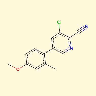 COc1ccc(-c2cnc(C#N)c(Cl)c2)c(C)c1